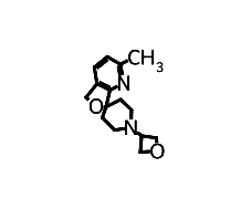 Cc1ccc2c(n1)C1(CCN(C3COC3)CC1)OC2